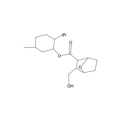 CC1CCC(C(C)C)C(OC(=O)C2C3CCC(O3)C2CO)C1